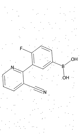 N#Cc1cccnc1-c1cc(B(O)O)ccc1F